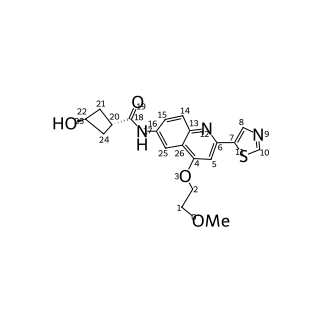 COCCOc1cc(-c2cncs2)nc2ccc(NC(=O)[C@H]3C[C@H](O)C3)cc12